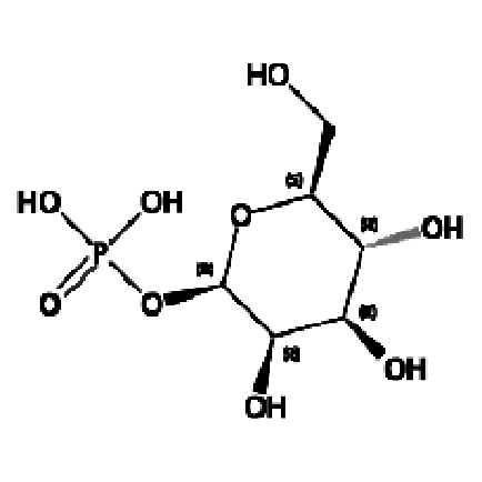 O=P(O)(O)O[C@H]1O[C@@H](CO)[C@H](O)[C@@H](O)[C@H]1O